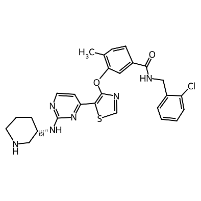 Cc1ccc(C(=O)NCc2ccccc2Cl)cc1Oc1ncsc1-c1ccnc(N[C@H]2CCCNC2)n1